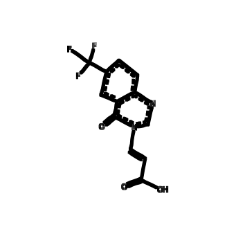 O=C(O)C=Cn1cnc2ccc(C(F)(F)F)cc2c1=O